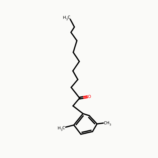 CCCCCCCCCC(=O)Cc1cc(C)ccc1C